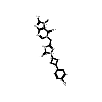 [2H]c1nc2ncn(Cc3nn(C4CC(c5ccc(Cl)cc5)C4)c(=O)o3)c(=O)c2n1C